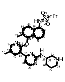 CCCS(=O)(=O)Nc1cccc2c(Oc3ncc(C)cc3-c3ccnc(N[C@H]4CCCNC4)n3)c(C)ccc12